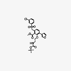 COC(=O)c1c(CS(=O)(=O)c2cccc(Cl)c2)ccc(-c2ccoc2)c1OCCNC(=O)OC(C)(C)C